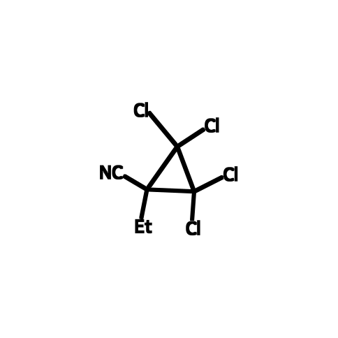 CCC1(C#N)C(Cl)(Cl)C1(Cl)Cl